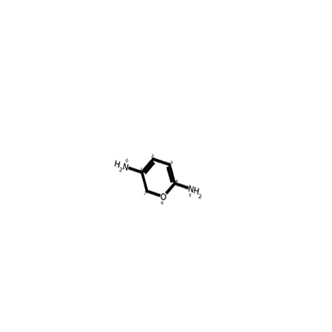 NC1=CC=C(N)OC1